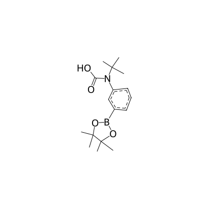 CC(C)(C)N(C(=O)O)c1cccc(B2OC(C)(C)C(C)(C)O2)c1